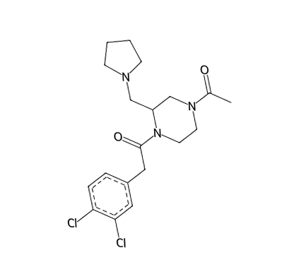 CC(=O)N1CCN(C(=O)Cc2ccc(Cl)c(Cl)c2)C(CN2CCCC2)C1